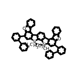 C[Si]1(C)c2cc(-c3ccccc3-c3ccccc3)c3oc4ccccc4c3c2-c2ccc3c(c21)[Si](C)(C)c1cc(-c2ccccc2-c2ccccc2)c2oc4ccccc4c2c1-3